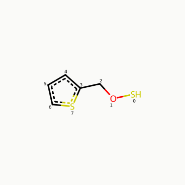 SOCc1cccs1